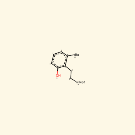 CCCCCCCCCc1c(O)cccc1C(C)(C)C